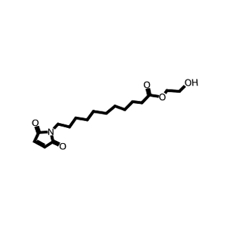 O=C(CCCCCCCCCCN1C(=O)C=CC1=O)OCCO